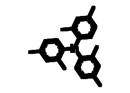 Cc1cc[c]([In]([c]2ccc(C)cc2C)[c]2ccc(C)cc2C)c(C)c1